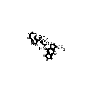 NS(=O)(=NC(=O)Nc1c2c(cc3c1CCC3C(F)(F)F)CCC2)c1cnn2c1OCCC2